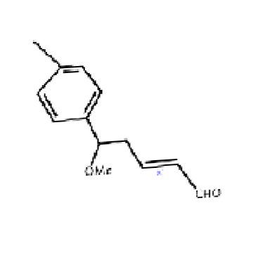 COC(C/C=C/C=O)c1ccc(C)cc1